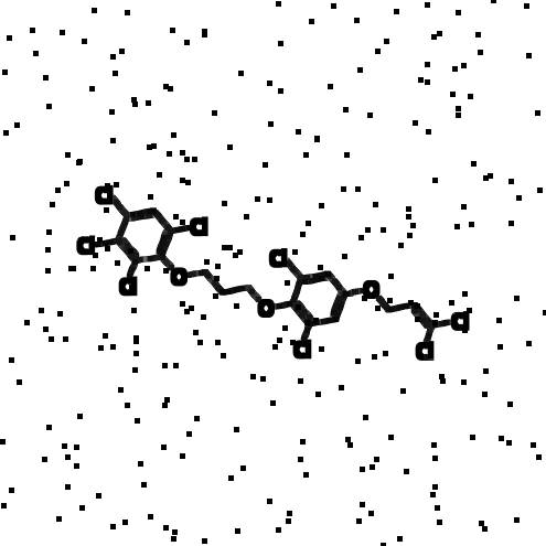 ClC(Cl)=CCOc1cc(Cl)c(OCCCOc2c(Cl)cc(Cl)c(Cl)c2Cl)c(Cl)c1